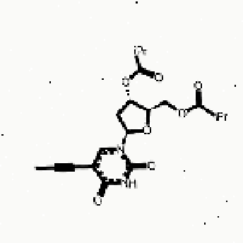 CC#Cc1cn([C@H]2C[C@H](OC(=O)C(C)C)[C@@H](COC(=O)C(C)C)O2)c(=O)[nH]c1=O